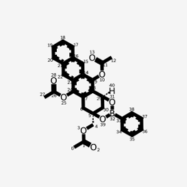 CC(=O)OC[C@]12Cc3c(c(OC(C)=O)c4cc5ccccc5cc4c3OC(C)=O)[C@H](C1)OB(c1ccccc1)O2